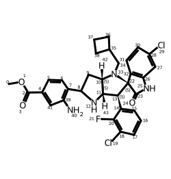 COC(=O)c1ccc(C2C[C@H]3[C@@H](N2)[C@H](c2cccc(Cl)c2F)[C@]2(C(=O)Nc4cc(Cl)ccc42)N3CC2CCC2)c(N)c1